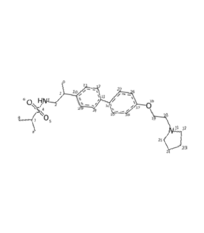 CC(CNS(=O)(=O)C(C)C)c1ccc(-c2ccc(OCCN3CCCC3)cc2)cc1